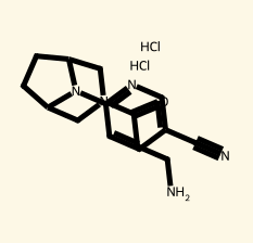 Cl.Cl.N#Cc1ccc(N2C3CCC2CN(C(=O)CCN)C3)nc1